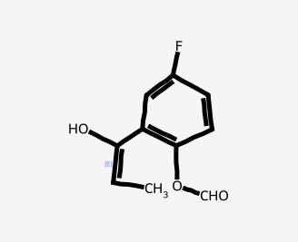 C/C=C(/O)c1cc(F)ccc1OC=O